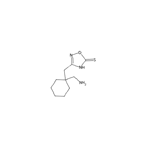 NCC1(Cc2noc(=S)[nH]2)CCCCC1